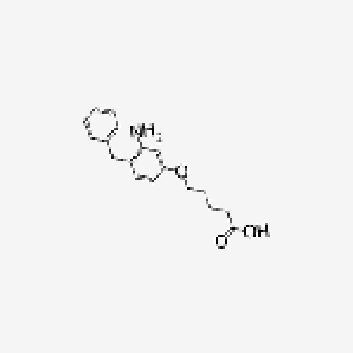 Nc1cc(OCCCCC(=O)O)ccc1Cc1ccccc1